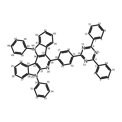 c1ccc(-c2nc(-c3ccccc3)nc(-c3ccc(-c4nc5c(c6ccccc6n5-c5ccccc5)c5c4c4ccccc4n5-c4ccccc4)cc3)n2)cc1